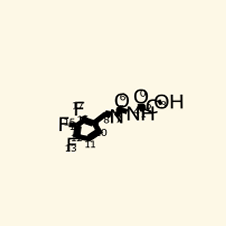 O=C(CO)NC(=O)N=Cc1ccc(F)c(F)c1F